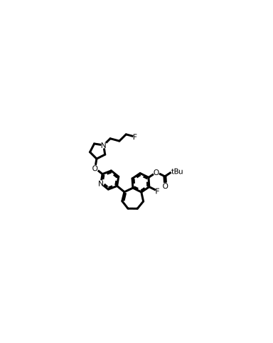 CC(C)(C)C(=O)Oc1ccc2c(c1F)CCCC=C2c1ccc(OC2CCN(CCCF)C2)nc1